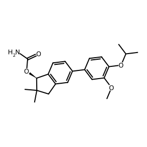 COc1cc(-c2ccc3c(c2)CC(C)(C)[C@H]3OC(N)=O)ccc1OC(C)C